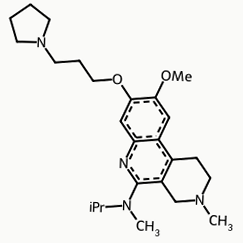 COc1cc2c3c(c(N(C)C(C)C)nc2cc1OCCCN1CCCC1)CN(C)CC3